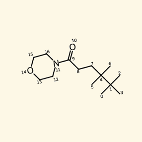 CC(C)(C)C(C)(C)CCC(=O)N1CCOCC1